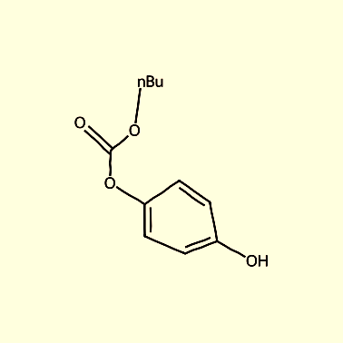 CCCCOC(=O)Oc1ccc(O)cc1